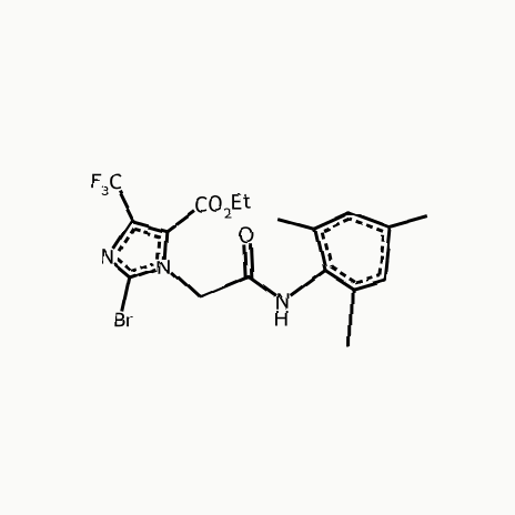 CCOC(=O)c1c(C(F)(F)F)nc(Br)n1CC(=O)Nc1c(C)cc(C)cc1C